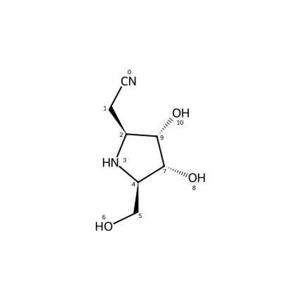 N#CC[C@@H]1N[C@H](CO)[C@@H](O)[C@H]1O